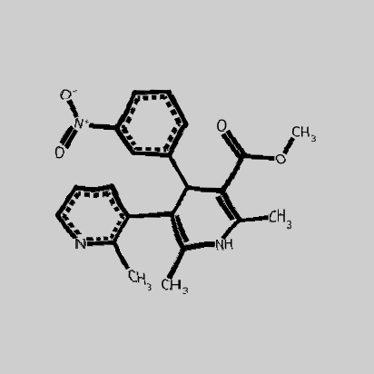 COC(=O)C1=C(C)NC(C)=C(c2cccnc2C)C1c1cccc([N+](=O)[O-])c1